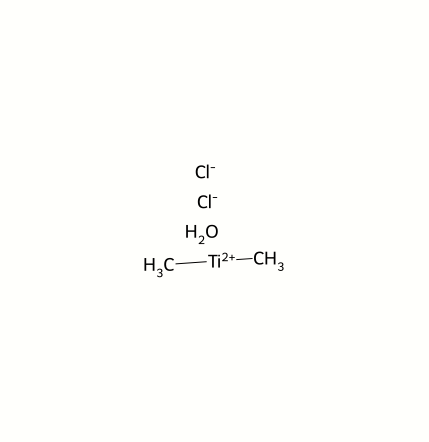 O.[CH3][Ti+2][CH3].[Cl-].[Cl-]